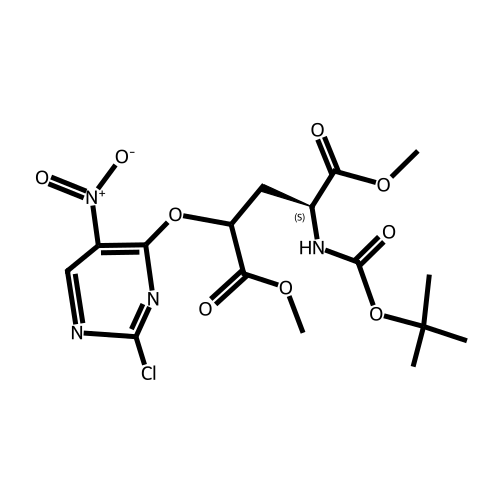 COC(=O)C(C[C@H](NC(=O)OC(C)(C)C)C(=O)OC)Oc1nc(Cl)ncc1[N+](=O)[O-]